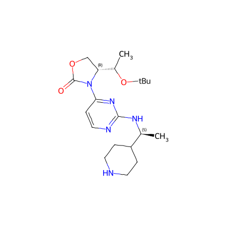 CC(OC(C)(C)C)[C@H]1COC(=O)N1c1ccnc(N[C@@H](C)C2CCNCC2)n1